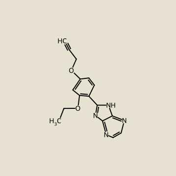 C#CCOc1ccc(-c2nc3nccnc3[nH]2)c(OCC)c1